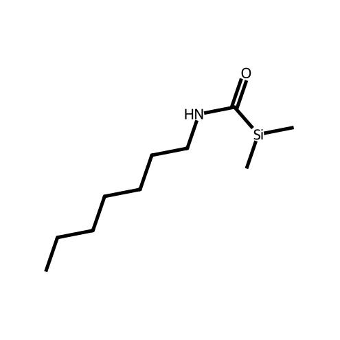 CCCCCCCNC(=O)[Si](C)C